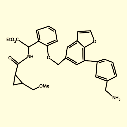 CCOC(=O)C(NC(=O)C1CC1COC)c1ccccc1OCc1cc(-c2cccc(CN)c2)c2occc2c1